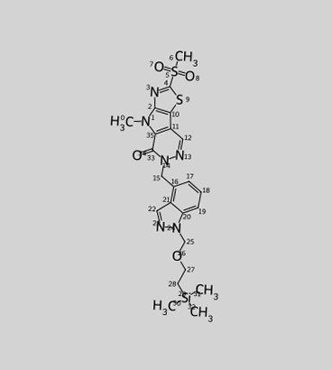 Cn1c2nc(S(C)(=O)=O)sc2c2cnn(Cc3cccc4c3cnn4COCC[Si](C)(C)C)c(=O)c21